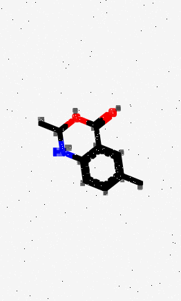 Cc1ccc2c(c1)C(=O)OC(C)N2